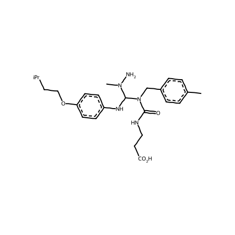 Cc1ccc(CN(C(=O)NCCC(=O)O)C(Nc2ccc(OCCC(C)C)cc2)N(C)N)cc1